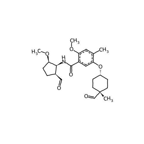 COc1cc(C)c(O[C@H]2CC[C@@](C)(C=O)CC2)cc1C(=O)N[C@H]1[C@@H](C=O)CC[C@H]1OC